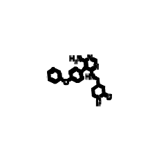 Nc1ncnc(NCC2CCNC(=O)C2)c1-c1ccc(Oc2ccccc2)cc1